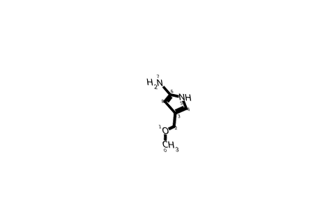 COCc1c[nH]c(N)c1